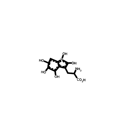 NC(Cc1c(O)n(O)c2cc(O)c(O)c(O)c12)C(=O)O